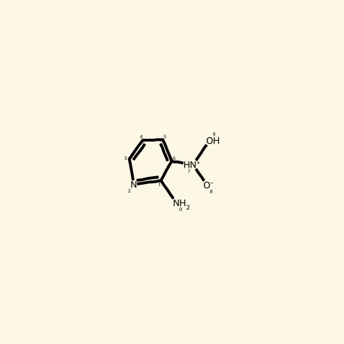 Nc1ncccc1[NH+]([O-])O